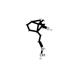 CC1(C)C2CCC1(CC=NO)C(=O)C2